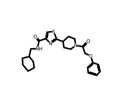 O=C(NCC1CCCCC1)c1csc(C2CCN(C(=O)COc3ccccc3)CC2)n1